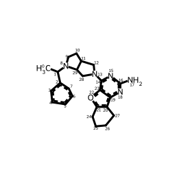 CC(c1ccccc1)N1CCC2CN(c3nc(N)nc4c5c(oc34)CCCC5)CC21